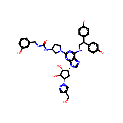 O=C(NCc1cccc(O)c1)NC1CCN(c2nc(NCC(c3ccc(O)cc3)c3ccc(O)cc3)c3ncn([C@@H]4C[C@H](n5cc(CO)cn5)[C@@H](O)[C@H]4O)c3n2)C1